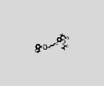 CC(C)C(=O)OCN1C(=O)CC(C)(C)c2ccc(OCCCCN3CCN(c4cccc5sccc45)CC3)cc21